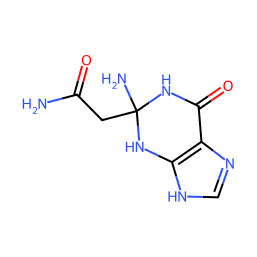 NC(=O)CC1(N)NC(=O)c2nc[nH]c2N1